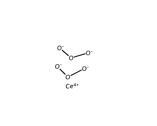 [Ce+4].[O-]O[O-].[O-]O[O-]